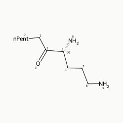 CCCCCCC(=O)[C@H](N)CCCN